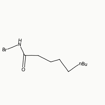 CCCCCCCCC(=O)NBr